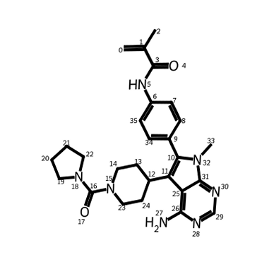 C=C(C)C(=O)Nc1ccc(-c2c(C3CCN(C(=O)N4CCCC4)CC3)c3c(N)ncnc3n2C)cc1